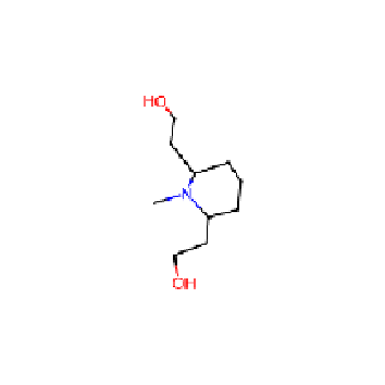 CN1C(CCO)CCCC1CCO